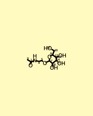 CC(=O)NCCOC1OC(CO)C(O)C(O)C1O